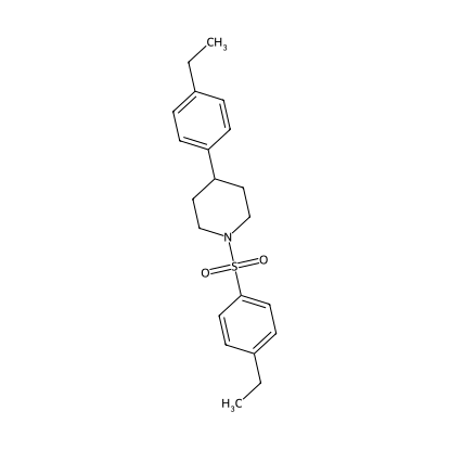 CCc1ccc(C2CCN(S(=O)(=O)c3ccc(CC)cc3)CC2)cc1